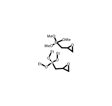 CCO[Si](CC1CO1)(OCC)OCC.CO[Si](CC1CO1)(OC)OC